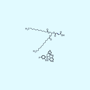 CC(c1ncncc1F)C(O)(Cn1cncn1)c1ccc(F)cc1F.CCCCCCCCCCCC(=O)OCC(COC(=O)CCCCCCCCCCC)OC(=O)/C=C/C(=O)O